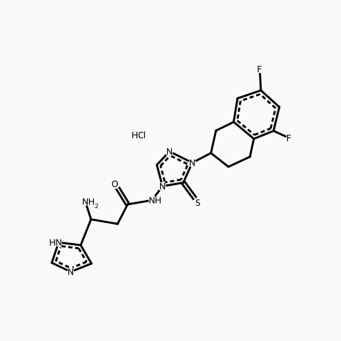 Cl.NC(CC(=O)Nn1cnn(C2CCc3c(F)cc(F)cc3C2)c1=S)c1cnc[nH]1